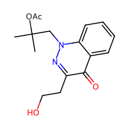 CC(=O)OC(C)(C)Cn1nc(CCO)c(=O)c2ccccc21